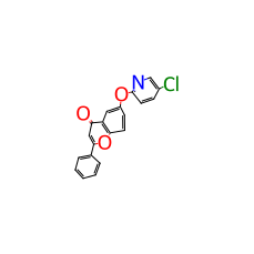 O=c1cc(-c2ccccc2)oc2ccc(Oc3ccc(Cl)cn3)cc12